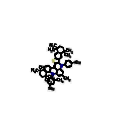 Cc1cc2c3c(c1)N(c1ccc(C(C)(C)C)cc1)c1c(sc4cc5c(cc14)C(C)(C)CCC5(C)C)B3c1ccc3c(c1N2c1ccc(C(C)(C)C)cc1C)C(C)(C)CCC3(C)C